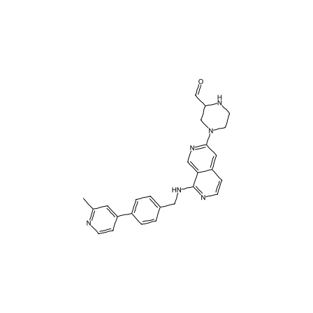 Cc1cc(-c2ccc(CNc3nccc4cc(N5CCNC(C=O)C5)ncc34)cc2)ccn1